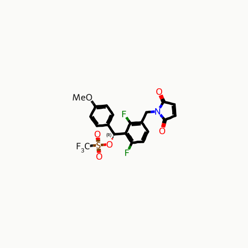 COc1ccc([C@@H](OS(=O)(=O)C(F)(F)F)c2c(F)ccc(CN3C(=O)C=CC3=O)c2F)cc1